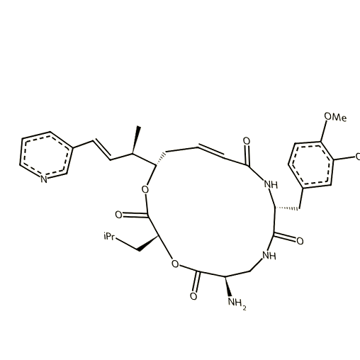 COc1ccc(C[C@H]2NC(=O)/C=C/C[C@@H]([C@H](C)/C=C/c3cccnc3)OC(=O)[C@H](CC(C)C)OC(=O)[C@H](N)CNC2=O)cc1Cl